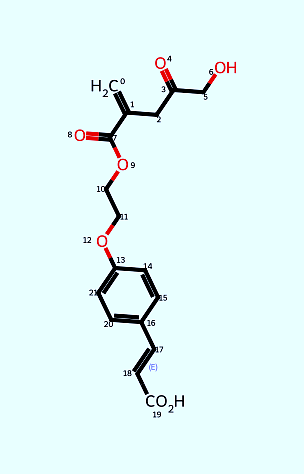 C=C(CC(=O)CO)C(=O)OCCOc1ccc(/C=C/C(=O)O)cc1